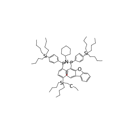 CCCC[Si](CCCC)(CCCC)c1ccc(P(c2ccc([Si](CCCC)(CCCC)CCCC)cc2)N(C2CCCCC2)P(c2ccc([Si](CCCC)(CCCC)CCCC)cc2)c2cccc3c2oc2ccccc23)cc1